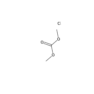 COC(=O)OC.[C]